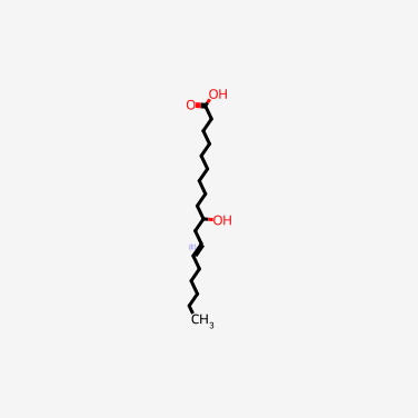 CCCCC/C=C/CC(O)CCCCCCCCC(=O)O